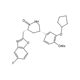 COc1ccc([C@H]2CNC(=O)[C@@H](Cc3nc4cc(F)ccc4o3)C2)cc1OC1CCCC1